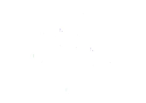 CC(C)C(CN1CCCC1)N(C)C(=O)c1ccc(F)cc1Cl